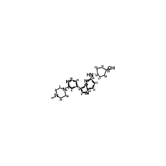 CN1CCN(c2cc(-c3cnc4ccc(N[C@H]5CC[C@H](O)CC5)nn34)ccn2)CC1